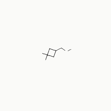 CCOCC1CC(F)(F)C1